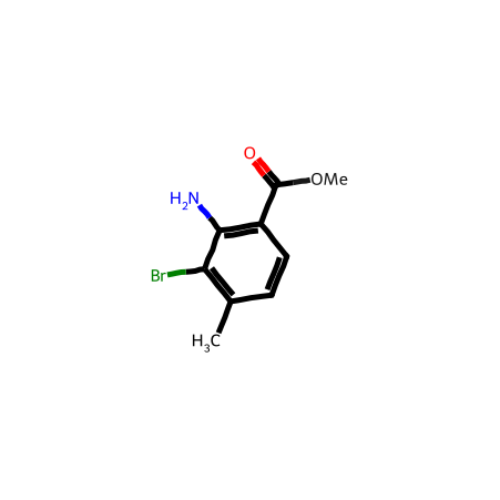 COC(=O)c1ccc(C)c(Br)c1N